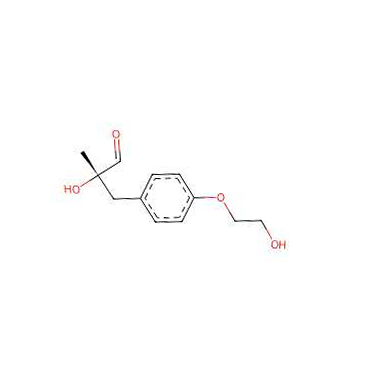 C[C@@](O)(C=O)Cc1ccc(OCCO)cc1